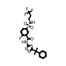 CC(C)(c1ccccc1)c1nnc(NC(=O)c2cc(S(=O)(=O)NCCC(F)(F)F)ccc2F)s1